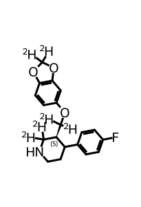 [2H]C1([2H])Oc2ccc(OC([2H])([2H])[C@H]3C(c4ccc(F)cc4)CCNC3([2H])[2H])cc2O1